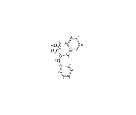 CC(Oc1ccccc1)Oc1ccccc1C(=O)O